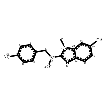 Cn1c([S+]([O-])Cc2ccc(C#N)cc2)nc2ccc(F)cc21